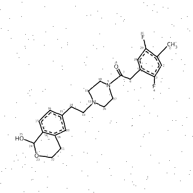 Cc1cc(F)c(CC(=O)N2CCN(CCc3ccc4c(c3)CCOC4O)CC2)cc1F